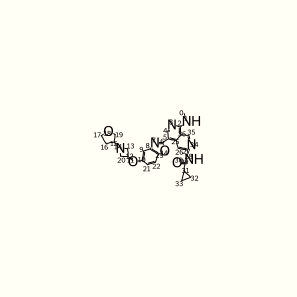 CNc1ncc(-c2nc3cc(OC4CN(C5CCOC5)C4)ccc3o2)c2cc(NC(=O)C3CC3)ncc12